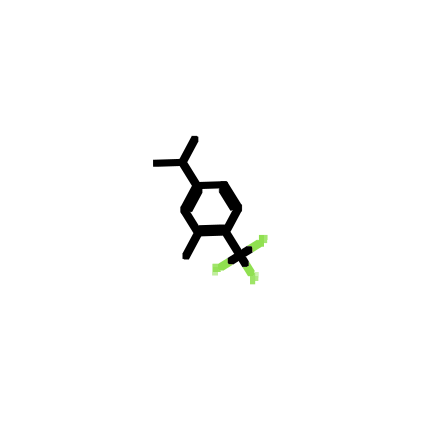 Cc1cc(C(C)C)ccc1C(F)(F)F